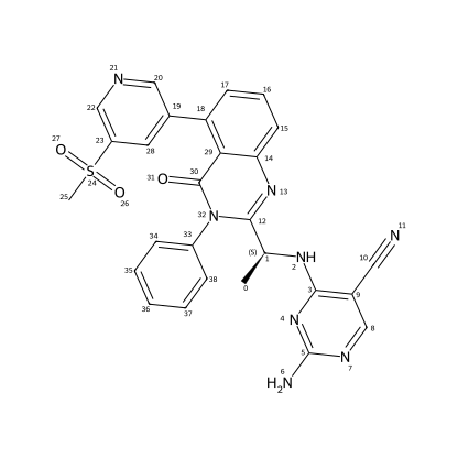 C[C@H](Nc1nc(N)ncc1C#N)c1nc2cccc(-c3cncc(S(C)(=O)=O)c3)c2c(=O)n1-c1ccccc1